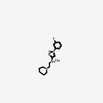 Cl.Fc1cccc(-n2cc(NCCN3CCCCC3)nn2)c1